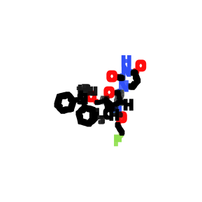 C[C@H]1[C@@H]2[C@H](n3ccc(=O)[nH]c3=O)O[C@@]1(CO[Si](c1ccccc1)(c1ccccc1)C(C)(C)C)CN2OCCF